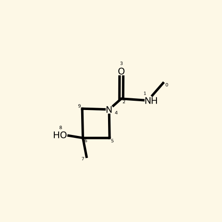 CNC(=O)N1CC(C)(O)C1